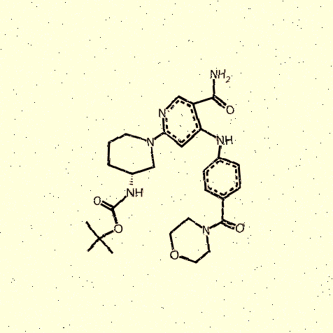 CC(C)(C)OC(=O)N[C@@H]1CCCN(c2cc(Nc3ccc(C(=O)N4CCOCC4)cc3)c(C(N)=O)cn2)C1